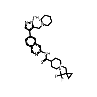 Cn1ncc(-c2ccc3cnc(NC(=S)C4CCN(CC5(C(F)(F)F)CC5)CC4)cc3c2)c1CN1CCCCC1